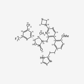 COc1ccc(CCc2ncc[nH]2)cc1-c1ccc(N2CCC2)nc1CN1C(=O)O[C@H](c2cc(C(F)(F)F)cc(C(F)(F)F)c2)[C@@H]1C